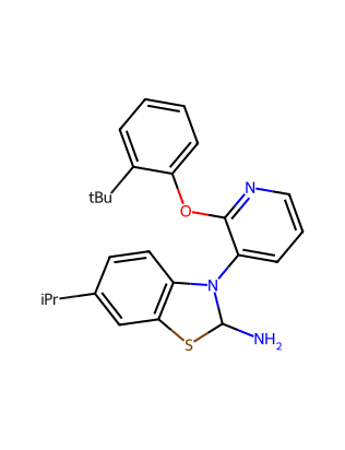 CC(C)c1ccc2c(c1)SC(N)N2c1cccnc1Oc1ccccc1C(C)(C)C